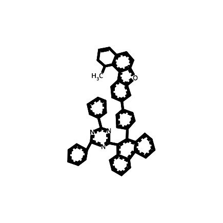 CC1CC=Cc2ccc3oc4cc(-c5ccc(-c6c(-c7nc(-c8ccccc8)nc(-c8ccccc8)n7)c7ccccc7c7ccccc67)cc5)ccc4c3c21